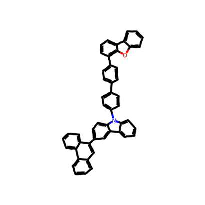 c1ccc2c(c1)cc(-c1ccc3c(c1)c1ccccc1n3-c1ccc(-c3ccc(-c4cccc5c4oc4ccccc45)cc3)cc1)c1ccccc12